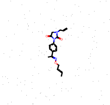 C=CCN1CC(=O)N(c2ccc(C(C)=NOC/C=C/C)cc2)C1=O